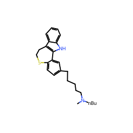 CCCCN(C)CCCCCc1ccc2c(c1)-c1[nH]c3ccccc3c1CCS2